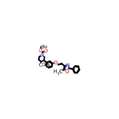 CCOC(=O)C1CCN(C(=O)OC(C)(C)C)CC1c1cccc(OCCc2nc(-c3ccccc3)oc2C)c1